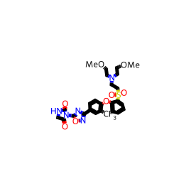 COCCN(CCOC)CCS(=O)(=O)c1ccccc1Oc1ccc(-c2noc(N3C(=O)CNC3=O)n2)cc1C(F)(F)F